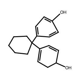 Oc1ccc(C2(C3=CCC(O)C=C3)CCCCC2)cc1